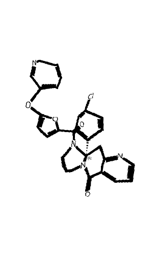 O=C(c1ccc(Oc2cccnc2)o1)N1CCN2C(=O)c3cccnc3C[C@]12c1ccc(Cl)cc1